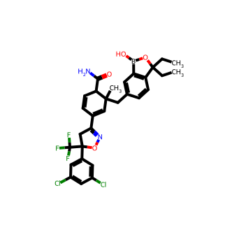 CCC1(CC)OB(O)c2cc(CC3(C)C=C(C4=NOC(c5cc(Cl)cc(Cl)c5)(C(F)(F)F)C4)C=CC3C(N)=O)ccc21